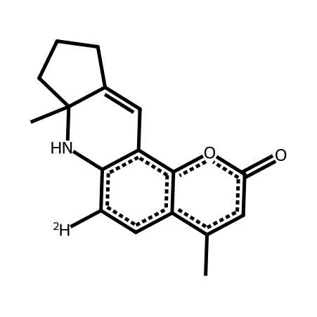 [2H]c1cc2c(C)cc(=O)oc2c2c1NC1(C)CCCC1=C2